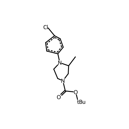 CC1CN(C(=O)OC(C)(C)C)CCN1c1ccc(Cl)cc1